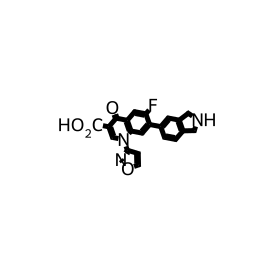 O=C(O)c1cn(-c2ccon2)c2cc(-c3ccc4c(c3)CNC4)c(F)cc2c1=O